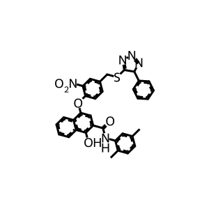 Cc1ccc(C)c(NC(=O)c2cc(Oc3ccc(CSC4=NN=NC4c4ccccc4)cc3[N+](=O)[O-])c3ccccc3c2O)c1